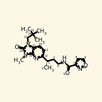 C[C@@H](CCNC(=O)c1ccon1)c1ccc2c(n1)n(C)c(=O)n2CC(C)(C)C